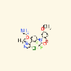 COc1ccc(Br)c(N(C(=O)C(F)(F)F)c2ccc(OCCN)c(-c3c(Cl)cnn3C)c2)c1